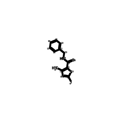 Cc1nc(I)sc1C(=O)NCc1ccccc1